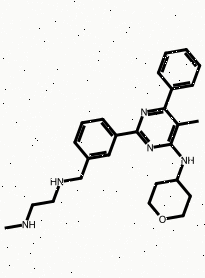 CNCCNCc1cccc(-c2nc(NC3CCOCC3)c(C)c(-c3ccccc3)n2)c1